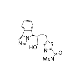 CNC(=O)c1nc2c(s1)CC[C@H](C1c3ccccc3-c3cncn31)[C@@H]2O